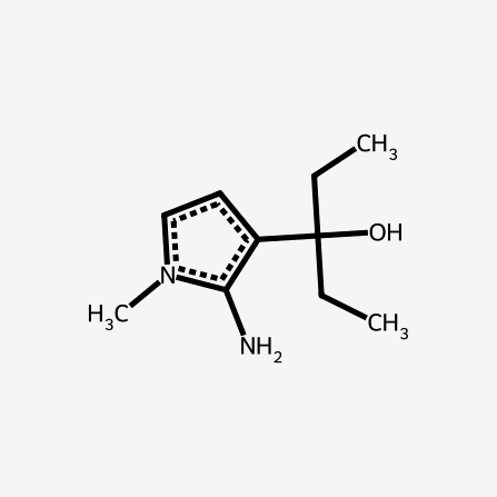 CCC(O)(CC)c1ccn(C)c1N